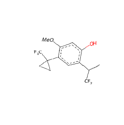 COc1cc(O)c(C(C)C(F)(F)F)cc1C1(C(F)(F)F)CC1